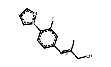 OC/C(F)=C/c1ccc(-n2cccn2)c(F)c1